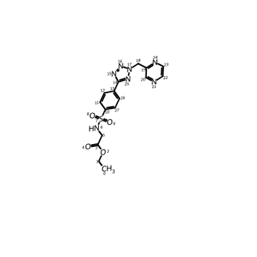 CCOC(=O)CNS(=O)(=O)c1ccc(-c2nnn(Cc3cnccn3)n2)cc1